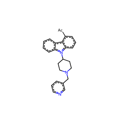 CC(=O)c1cccc2c1c1ccccc1n2C1CCN(Cc2cccnc2)CC1